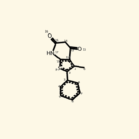 Cc1c(-c2ccccc2)sc2c1C(=O)CC(=O)N2